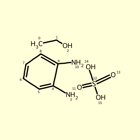 CCO.Nc1ccccc1N.O=S(=O)(O)O